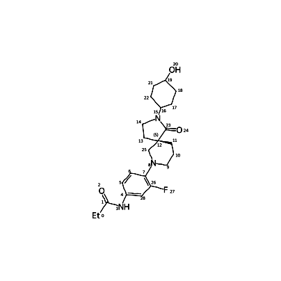 CCC(=O)Nc1ccc(N2CCC[C@]3(CCN(C4CCC(O)CC4)C3=O)C2)c(F)c1